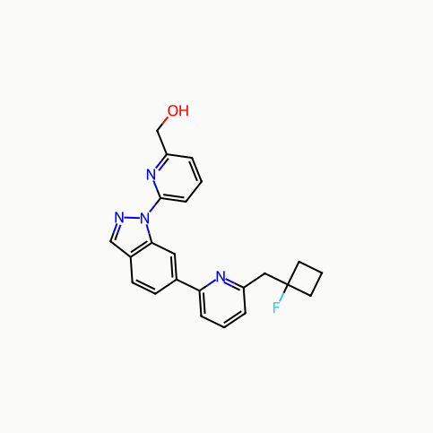 OCc1cccc(-n2ncc3ccc(-c4cccc(CC5(F)CCC5)n4)cc32)n1